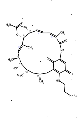 CO[C@H]1C[C@H](C)CC2=C(NCCNC(C)=O)C(=O)C=C(NC(=O)/C(C)=C\C=C\[C@@H](OC)[C@@H](OC(N)=O)/C(C)=C/[C@H](C)[C@H]1O)C2=O